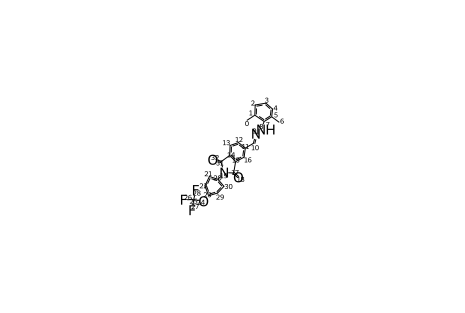 Cc1cccc(C)c1N/N=C/c1ccc2c(c1)C(=O)N(c1ccc(OC(F)(F)F)cc1)C2=O